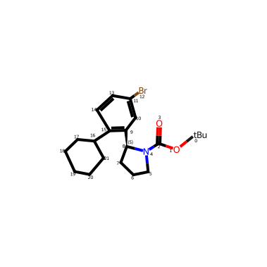 CC(C)(C)OC(=O)N1CCC[C@H]1c1cc(Br)ccc1C1CCCCC1